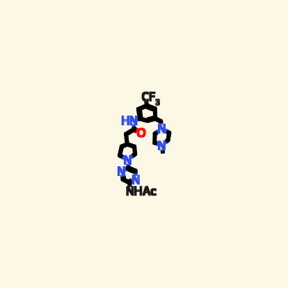 CC(=O)Nc1cnc(N2CCC(CC(=O)Nc3cc(CN4CCN(C)CC4)cc(C(F)(F)F)c3)CC2)cn1